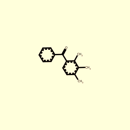 Cc1ccc(C(=O)c2ccccc2)c(C)c1C